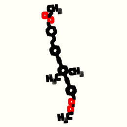 C=COCOCc1ccc(C#Cc2c(C)cc(C#Cc3ccc(CCC4CCC(COC(=O)C=C)CC4)cc3)cc2C)cc1